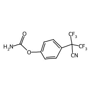 N#CC(c1ccc(OC(N)=O)cc1)(C(F)(F)F)C(F)(F)F